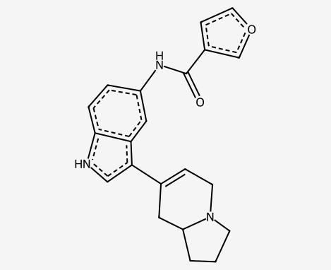 O=C(Nc1ccc2[nH]cc(C3=CCN4CCCC4C3)c2c1)c1ccoc1